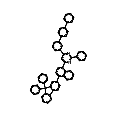 c1ccc(-c2ccc(-c3cccc(-c4cc(-c5ccc(-c6ccc7c(c6)C(c6ccccc6)(c6ccccc6)c6ccccc6-7)c6ccccc56)nc(-c5ccccc5)n4)c3)cc2)cc1